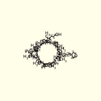 CCC1NC(=O)[C@@H]2[C@@H](C(C)CCCCO)ON2C(=O)[C@H](C(C)C)N(C)C(=O)[C@@H]2CC(C)N(/C=C\N(C)[C@@H](CC(C)C)C(=O)N2C)C(=O)C(C)NC(=O)[C@H](CC(C)C)N(C)C(=O)C(C(C)C)NC(=O)[C@H]([C@@H](C)OCCCCN2CCOCC2)N(C)C(=O)[C@@H](C)N(C)C1=O